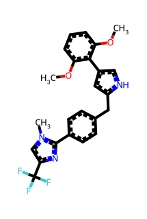 COc1cccc(OC)c1-c1c[nH]c(Cc2ccc(-c3nc(C(F)(F)F)cn3C)cc2)c1